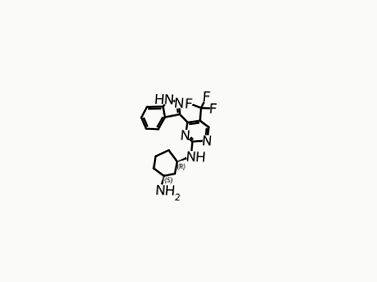 N[C@H]1CCC[C@@H](Nc2ncc(C(F)(F)F)c(-c3n[nH]c4ccccc34)n2)C1